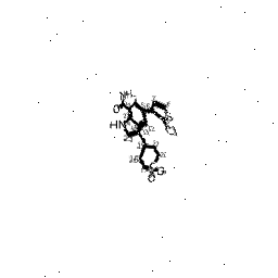 NC(=O)c1cc(-c2ccsc2Cl)cc2c(C3CCS(=O)(=O)CC3)c[nH]c12